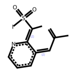 C=C(C)/C=c1/cccn/c1=C(/C)S(=O)(=O)I